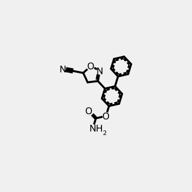 N#CC1CC(c2cc(OC(N)=O)ccc2-c2ccccc2)=NO1